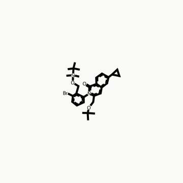 CC(C)(C)OCc1cc2cc(C3CC3)ccc2c(=O)n1-c1cccc(Br)c1CO[Si](C)(C)C(C)(C)C